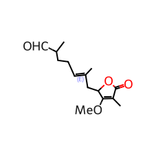 COC1=C(C)C(=O)OC1C/C(C)=C/CCC(C)C=O